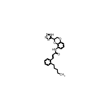 CCCCCc1ccccc1C=CC(=O)Nc1cccc2c1OC(c1nnn[nH]1)CO2